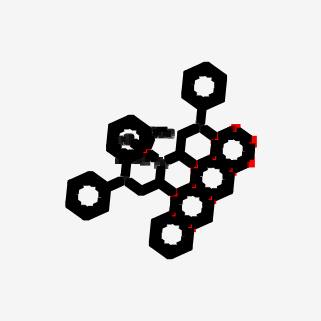 CO[PH](OC)(OC)[Fe]([CH](CP(c1ccccc1)c1ccccc1)P(c1ccccc1)c1ccccc1)[CH](CP(c1ccccc1)c1ccccc1)P(c1ccccc1)c1ccccc1